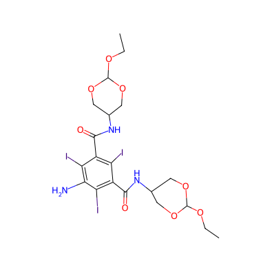 CCOC1OCC(NC(=O)c2c(I)c(N)c(I)c(C(=O)NC3COC(OCC)OC3)c2I)CO1